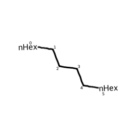 [CH2]CCC[CH]CCCCCCCCCC[CH2]